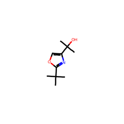 CC(C)(C)c1nc(C(C)(C)O)co1